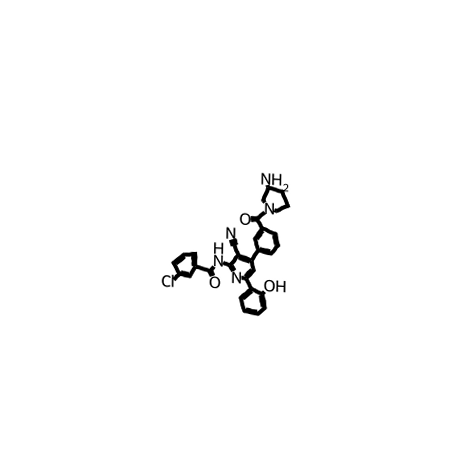 N#Cc1c(-c2cccc(C(=O)N3CCCC(N)C3)c2)cc(-c2ccccc2O)nc1NC(=O)c1cccc(Cl)c1